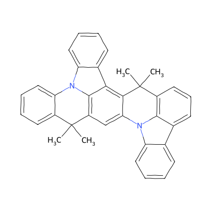 CC1(C)c2c(cc3c4c2c2ccccc2n4-c2ccccc2C3(C)C)-n2c3ccccc3c3cccc1c32